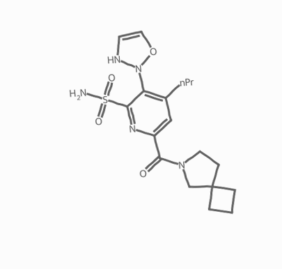 CCCc1cc(C(=O)N2CCC3(CCC3)C2)nc(S(N)(=O)=O)c1N1NC=CO1